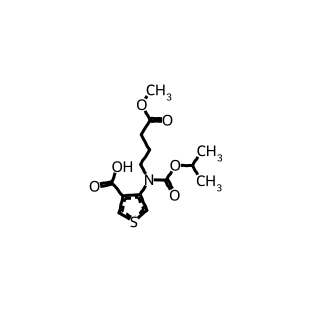 COC(=O)CCCN(C(=O)OC(C)C)c1cscc1C(=O)O